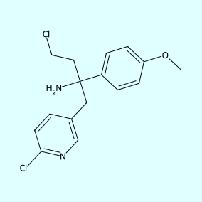 COc1ccc(C(N)(CCCl)Cc2ccc(Cl)nc2)cc1